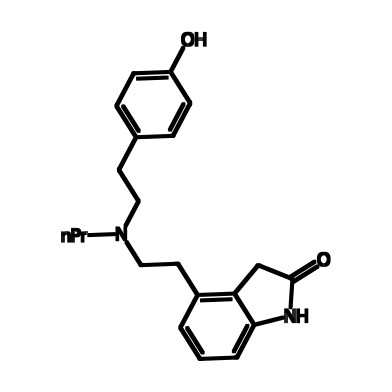 CCCN(CCc1ccc(O)cc1)CCc1cccc2c1CC(=O)N2